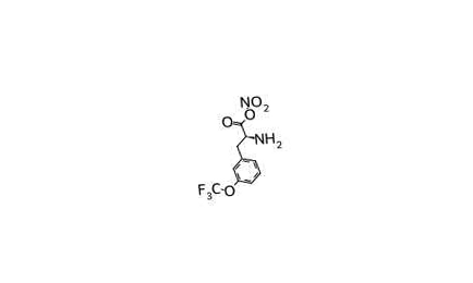 N[C@@H](Cc1cccc(OC(F)(F)F)c1)C(=O)O[N+](=O)[O-]